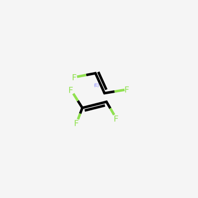 F/C=C/F.FC=C(F)F